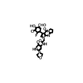 O=Cc1cc(-c2cn(CC(=O)NC3=C(Cl)CNC(N4CCOCC4)=C3)c3nc4n(c(=O)c23)CCC4)c(F)c(Cl)c1O